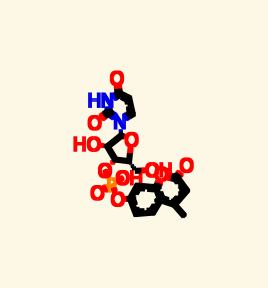 Cc1cc(=O)oc2cc(OP(=O)(O)O[C@H]3[C@@H](O)[C@H](n4ccc(=O)[nH]c4=O)O[C@@H]3CO)ccc12